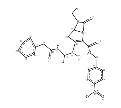 CCC1C(=O)N2C(C(=O)OCc3ccc([N+](=O)[O-])cc3)=C([S+]([O-])C(C)NC(=O)Cc3ccccc3)CC12